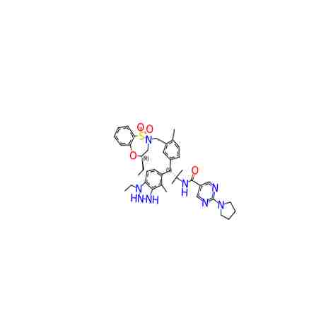 CC[C@@H]1CN(Cc2cc([C@@H](c3ccc4c(c3C)NNN4CC)C(C)(C)NC(=O)c3cnc(N4CCCC4)nc3)ccc2C)S(=O)(=O)c2ccccc2O1